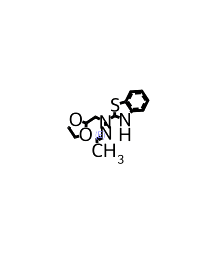 C/C=N/N(CC1OCCO1)C1Nc2ccccc2S1